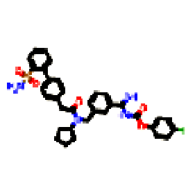 N=C(NC(=O)Oc1ccc(F)cc1)c1cccc(CN(C(=O)Cc2ccc(-c3ccccc3S(N)(=O)=O)cc2)C2CCCC2)c1